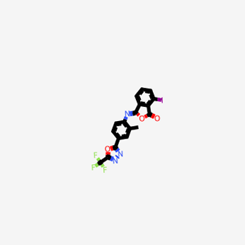 Cc1cc(-c2nnc(C(F)(F)F)o2)ccc1N=C1OC(=O)c2c(I)cccc21